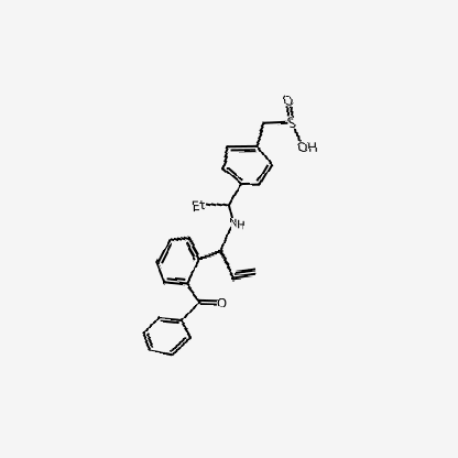 C=CC(NC(CC)c1ccc(CS(=O)O)cc1)c1ccccc1C(=O)c1ccccc1